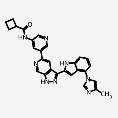 Cc1cn(-c2cccc3[nH]c(-c4n[nH]c5cnc(-c6cncc(NC(=O)C7CCC7)c6)cc45)cc23)cn1